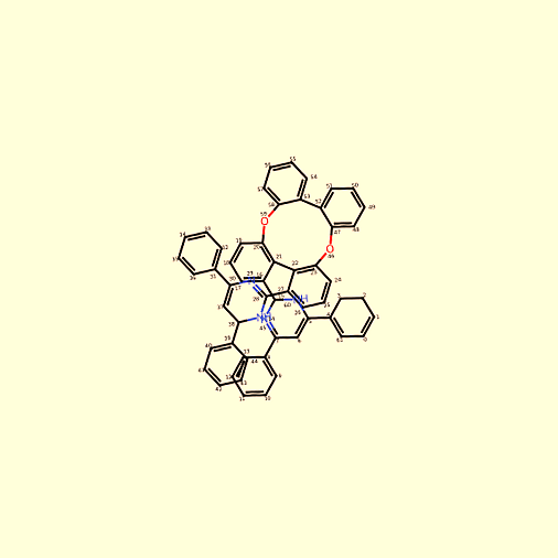 C1=CCCC(C2=CC(c3ccccc3)=NC(c3cccc4c3-c3c(cccc3C3=NC(c5ccccc5)=CC(c5ccccc5)N3)Oc3ccccc3-c3ccccc3O4)N2)=C1